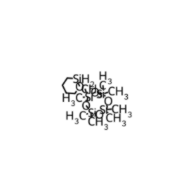 C1CC[SiH2]OC1.C[Si]1(C)O[Si](C)(C)O[Si](C)(C)O[Si](C)(C)O1